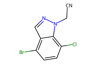 N#CCn1ncc2c(Br)ccc(Cl)c21